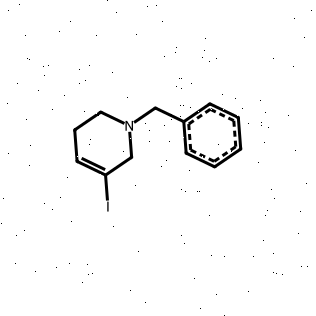 IC1=CCCN(Cc2ccccc2)C1